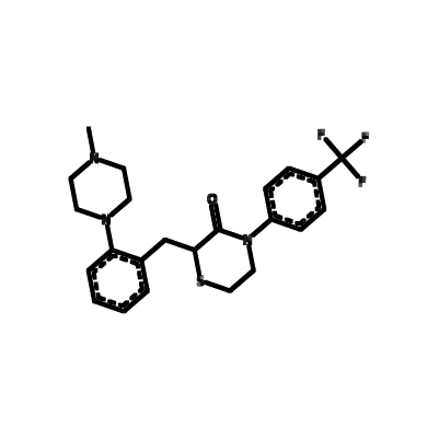 CN1CCN(c2ccccc2CC2SCCN(c3ccc(C(F)(F)F)cc3)C2=O)CC1